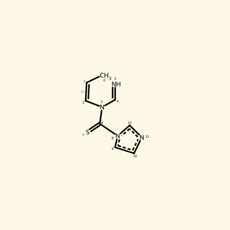 C/C=C\N(C=N)C(=S)n1ccnc1